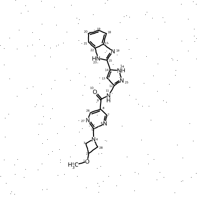 COC1CN(c2ncc(C(=O)Nc3cc(-c4nc5ccccc5[nH]4)[nH]n3)cn2)C1